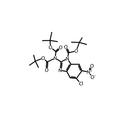 CC(C)(C)OC(=O)N(C(=O)OC(C)(C)C)c1nc2cc(Cl)c([N+](=O)[O-])cc2n1C(=O)OC(C)(C)C